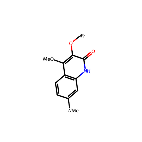 CNc1ccc2c(OC)c(OC(C)C)c(=O)[nH]c2c1